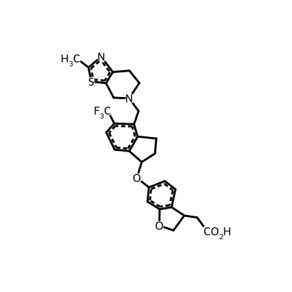 Cc1nc2c(s1)CN(Cc1c(C(F)(F)F)ccc3c1CCC3Oc1ccc3c(c1)OCC3CC(=O)O)CC2